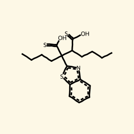 CCCCC(C(O)=S)C(CCCC)(C(O)=S)c1nc2ccccc2s1